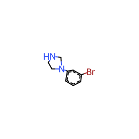 Brc1cccc(N2CCNC2)c1